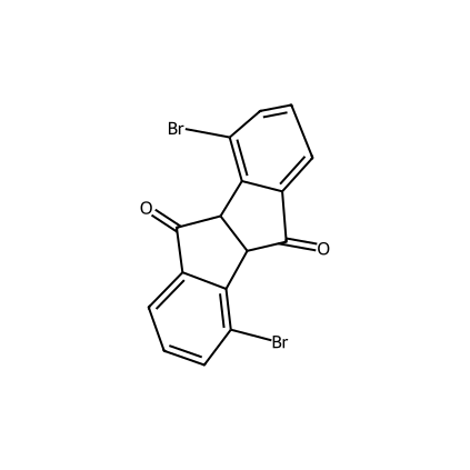 O=C1c2cccc(Br)c2C2C(=O)c3cccc(Br)c3C12